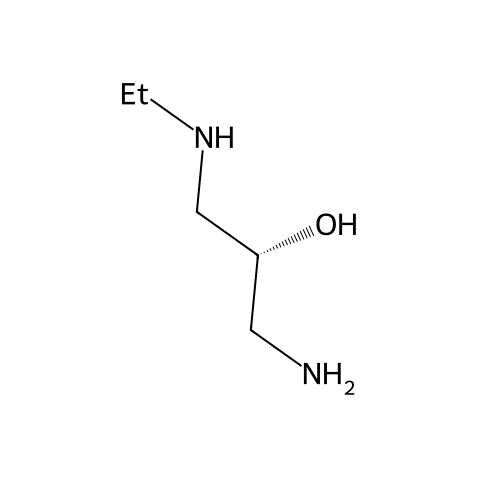 CCNC[C@H](O)CN